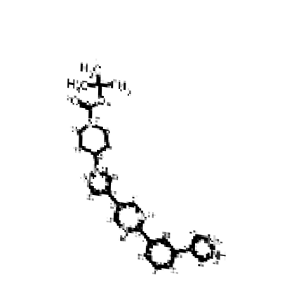 CC(C)(C)OC(=O)N1CCC(n2cc(-c3cnc(-c4cccc(-c5cn[nH]c5)c4)nc3)cn2)CC1